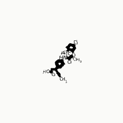 CC#CC(CC(=O)O)c1ccc(NC(=O)C(C)(C)Oc2cc(Cl)ccc2Cl)cc1